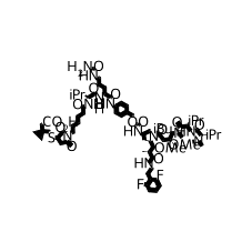 CC[C@H](C)C([C@@H](CC(=O)N1C[C@@H](NC(=O)OCc2ccc(NC(=O)C(CCCNC(N)=O)NC(=O)[C@@H](NC(=O)CCCCCN3C(=O)CC(SCC4(CC(=O)O)CC4)C3=O)C(C)C)cc2)C[C@H]1[C@H](OC)[C@@H](C)C(=O)NCCc1c(F)cccc1F)OC)N(C)C(=O)[C@@H](NC(=O)[C@H](C(C)C)N(C)C)C(C)C